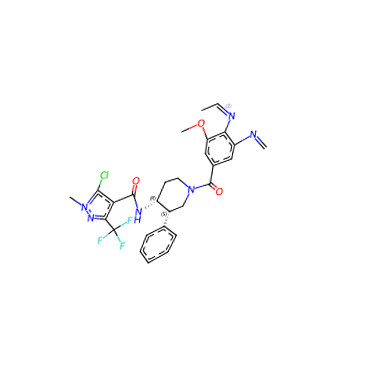 C=Nc1cc(C(=O)N2CC[C@@H](NC(=O)c3c(C(F)(F)F)nn(C)c3Cl)[C@@H](c3ccccc3)C2)cc(OC)c1/N=C\C